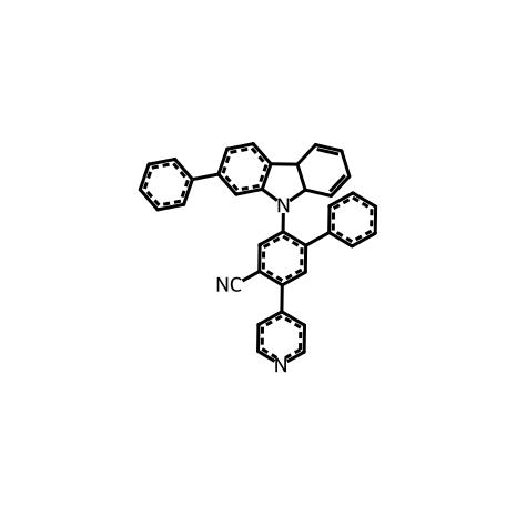 N#Cc1cc(N2c3cc(-c4ccccc4)ccc3C3C=CC=CC32)c(-c2ccccc2)cc1-c1ccncc1